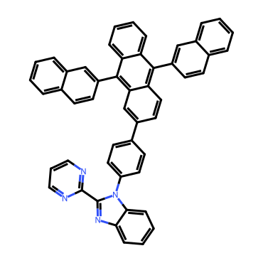 c1cnc(-c2nc3ccccc3n2-c2ccc(-c3ccc4c(-c5ccc6ccccc6c5)c5ccccc5c(-c5ccc6ccccc6c5)c4c3)cc2)nc1